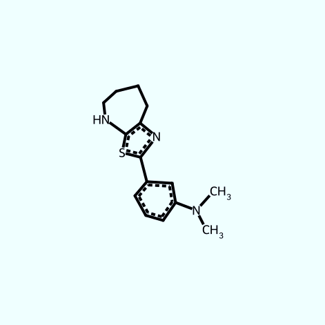 CN(C)c1cccc(-c2nc3c(s2)NCCCC3)c1